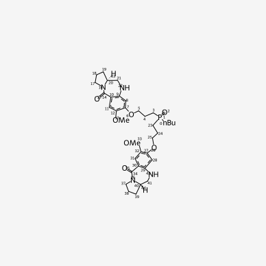 CCCCP(=O)(CCCOc1cc2c(cc1OC)C(=O)N1CCC[C@H]1CN2)CCCOc1cc2c(cc1OC)C(=O)N1CCC[C@H]1CN2